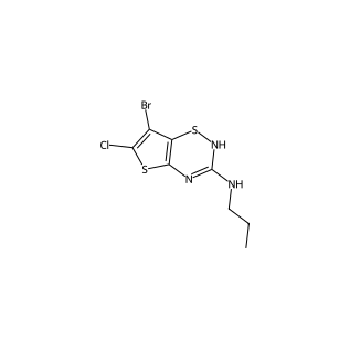 CCCNC1=Nc2sc(Cl)c(Br)c2SN1